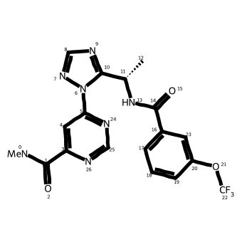 CNC(=O)c1cc(-n2ncnc2[C@H](C)NC(=O)c2cccc(OC(F)(F)F)c2)ncn1